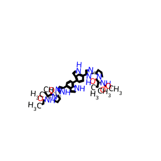 CCC(=O)N[C@H](C(=O)N1CCC[C@H]1c1ncc(-c2ccc(-c3ccc(-c4cnc([C@@H]5CCCN5C(=O)[C@@H](NC(=O)OC)C(C)C)[nH]4)c4[nH]ccc34)c3[nH]ccc23)[nH]1)C(C)C